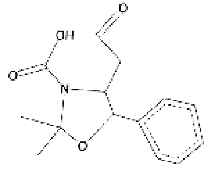 CC1(C)OC(c2ccccc2)C(CC=O)N1C(=O)O